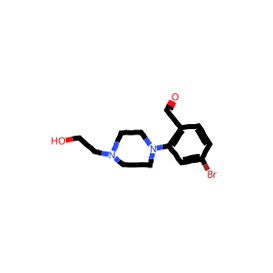 O=Cc1ccc(Br)cc1N1CCN(CCO)CC1